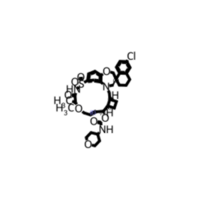 CC1(C)OC/C=C/[C@H](OC(=O)NC2CCOCC2)[C@@H]2CC[C@H]2CN2C[C@@]3(CCCc4cc(Cl)ccc43)COc3ccc(cc32)S(=O)(=O)NC1=O